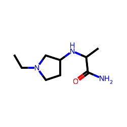 CCN1CCC(NC(C)C(N)=O)C1